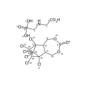 O=C(O)CNCP(=O)(O)O.O=S1OCC2C(CO1)C1(Cl)C(Cl)=C(Cl)C2(Cl)C1(Cl)Cl